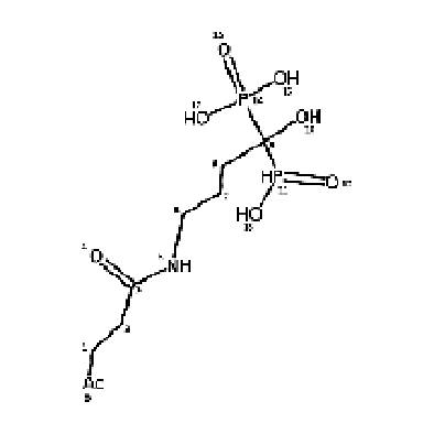 CC(=O)CCC(=O)NCCCC(O)([PH](=O)O)P(=O)(O)O